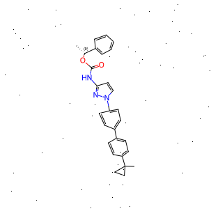 C[C@@H](OC(=O)Nc1ccn(-c2ccc(-c3ccc(C4(C)CC4)cc3)cc2)n1)c1ccccc1